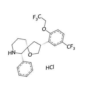 Cl.FC(F)(F)COc1ccc(C(F)(F)F)cc1[C@@H]1CO[C@]2(CCCN[C@H]2c2ccccc2)C1